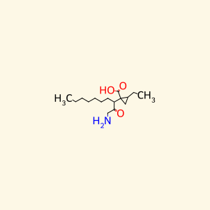 CCCCCCCC(C(=O)CN)C1(C(=O)O)CC1CC